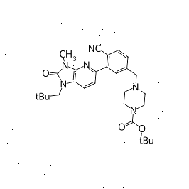 Cn1c(=O)n(CC(C)(C)C)c2ccc(-c3cc(CN4CCN(C(=O)OC(C)(C)C)CC4)ccc3C#N)nc21